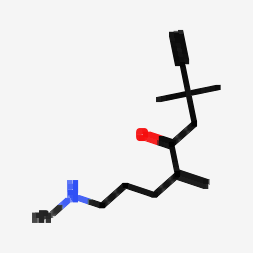 C#CC(C)(C)CC(=O)C(=C)CCCNCCC